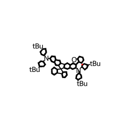 CC(C)(C)c1ccc(N(c2ccc(C(C)(C)C)cc2)c2ccc3cc4c(cc3c2)C2(c3ccccc3-c3ccccc32)c2cc3cc(N(c5ccc(C(C)(C)C)cc5)c5ccc(C(C)(C)C)cc5)c5c6ccccc6oc5c3cc2-4)cc1